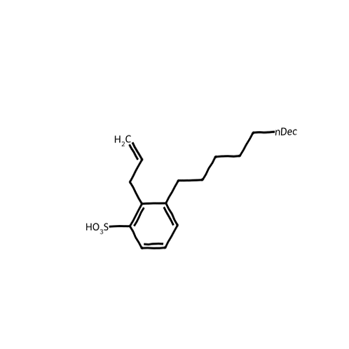 C=CCc1c(CCCCCCCCCCCCCCC)cccc1S(=O)(=O)O